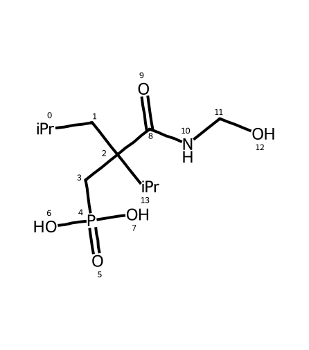 CC(C)CC(CP(=O)(O)O)(C(=O)NCO)C(C)C